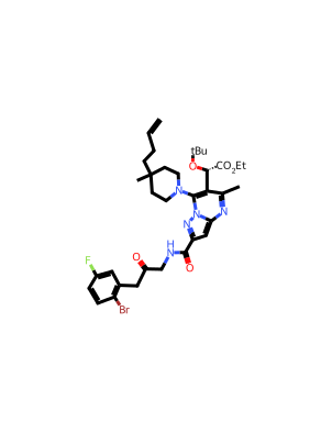 C=CCCC1(C)CCN(c2c([C@H](OC(C)(C)C)C(=O)OCC)c(C)nc3cc(C(=O)NCC(=O)Cc4cc(F)ccc4Br)nn23)CC1